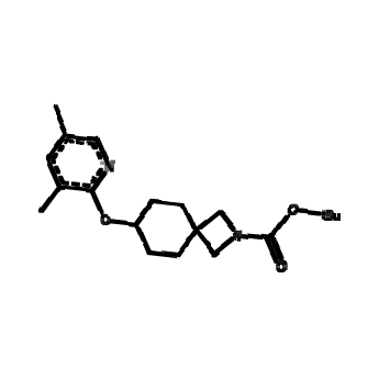 Cc1cnc(OC2CCC3(CC2)CN(C(=O)OC(C)(C)C)C3)c(C)c1